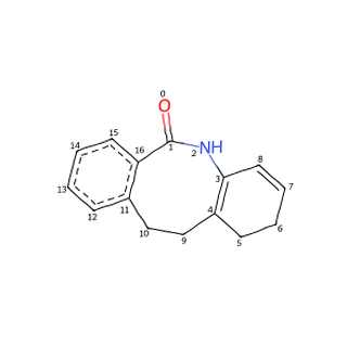 O=C1NC2=C(CCC=C2)CCc2ccccc21